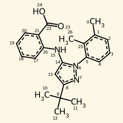 Cc1cccc(-n2nc(C(C)(C)C)cc2Nc2ccccc2C(=O)O)c1C